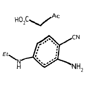 CC(=O)CC(=O)O.CCNc1ccc(C#N)c(N)c1